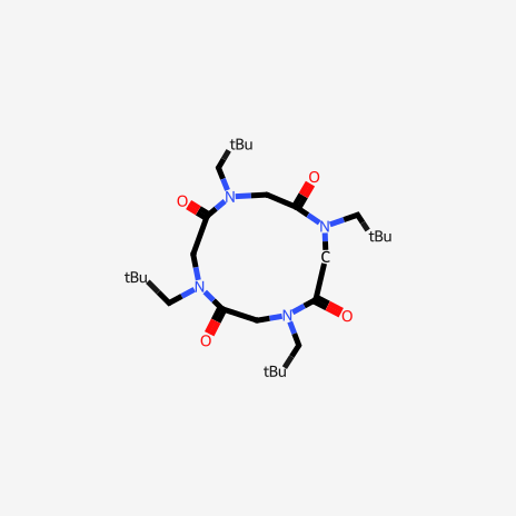 CC(C)(C)CN1CC(=O)N(CC(C)(C)C)CC(=O)N(CC(C)(C)C)CC(=O)N(CC(C)(C)C)CC1=O